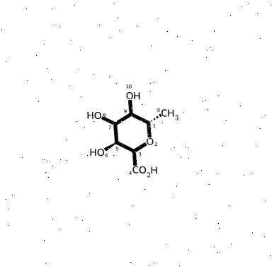 C[C@@H]1OC(C(=O)O)[C@@H](O)C(O)C1O